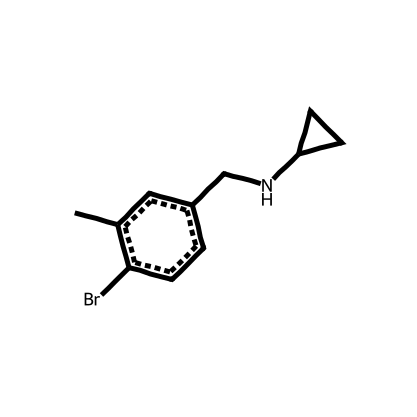 Cc1cc(CNC2CC2)ccc1Br